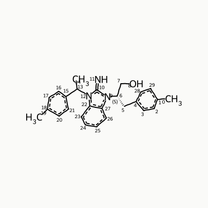 Cc1ccc(C[C@@H](CO)n2c(=N)n(C(C)c3ccc(C)cc3)c3ccccc32)cc1